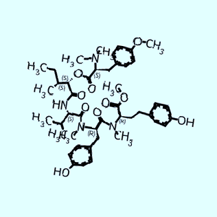 CC[C@H](C)[C@H](OC(=O)[C@H](Cc1ccc(OC)cc1)N(C)C)C(=O)N[C@H](C(=O)N(C)[C@H](Cc1ccc(O)cc1)C(=O)N(C)[C@H](CCc1ccc(O)cc1)C(=O)OC)C(C)C